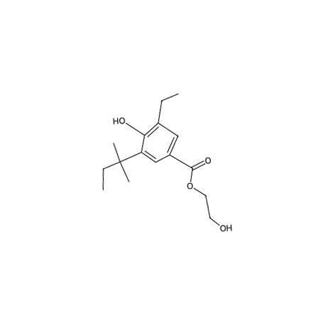 CCc1cc(C(=O)OCCO)cc(C(C)(C)CC)c1O